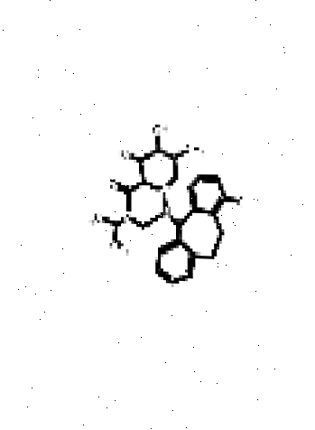 CC1CN2C(C(=O)N(C(C)C)CN2C2c3ccccc3CCc3c(Cl)cccc32)C(O)C1O